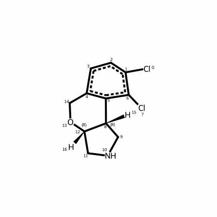 Clc1ccc2c(c1Cl)[C@@H]1CNC[C@@H]1OC2